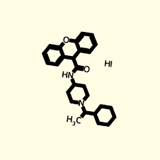 CC(C1CCCCC1)N1CCC(NC(=O)C2c3ccccc3Oc3ccccc32)CC1.I